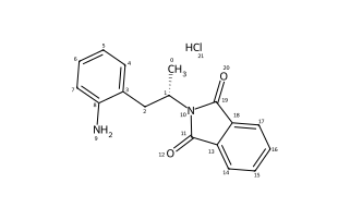 C[C@@H](Cc1ccccc1N)N1C(=O)c2ccccc2C1=O.Cl